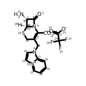 N[C@@H]1C(=O)N2C(C(=O)O)=C(Cn3cc[n+]4ccccc34)CS[C@@H]12.O=C([O-])C(F)(F)F